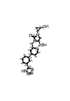 CCCCc1cn(C2CC2O)c(=O)n1Cc1cc(-c2cccc(-c3nnn[nH]3)c2)ccn1